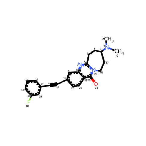 CN(C)C1CCc2nc3cc(C#Cc4cccc(F)c4)ccc3c(=O)n2CC1